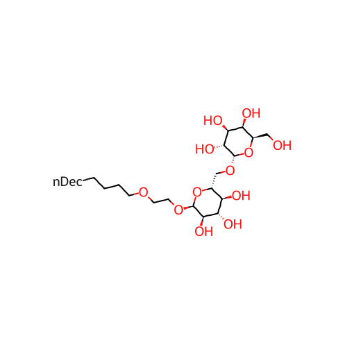 CCCCCCCCCCCCCCOCCO[C@H]1O[C@H](CO[C@H]2O[C@H](CO)[C@H](O)[C@H](O)[C@H]2O)[C@@H](O)[C@H](O)[C@H]1O